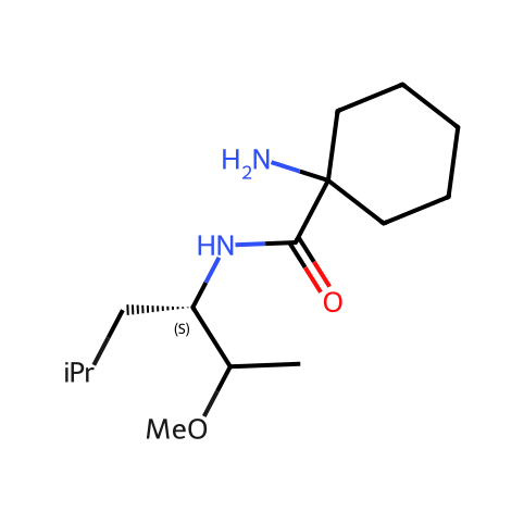 COC(C)[C@H](CC(C)C)NC(=O)C1(N)CCCCC1